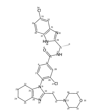 C[C@H](NC(=O)c1ccc(-n2c(CCN3CCOCC3)nc3c2CCCC3)c(Cl)c1)c1nc2cc(Cl)ccc2[nH]1